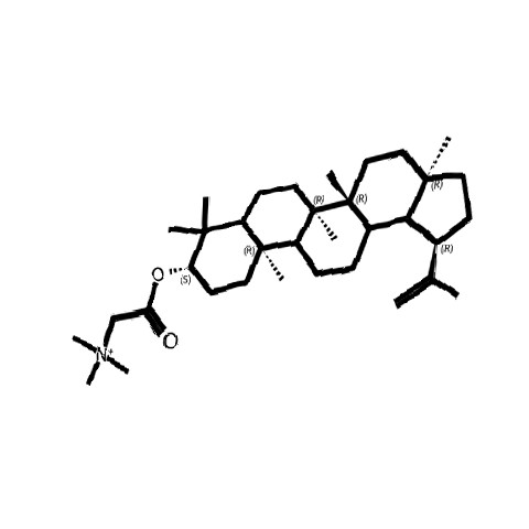 C=C(C)[C@@H]1CC[C@]2(C)CC[C@]3(C)C(CCC4[C@@]5(C)CC[C@H](OC(=O)C[N+](C)(C)C)C(C)(C)C5CC[C@]43C)C12